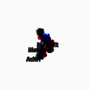 CC[C@H]1O[C@@H](n2cnc3c(NC(=O)c4ccccc4)ncnc32)[C@@H](OC)C1OP(=O)(OC[C@H]1O[C@@H](n2ccc(NC(C)=O)nc2=O)[C@@H](OC)C1C)N(C)C